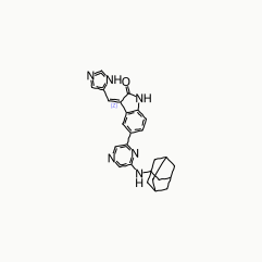 O=C1Nc2ccc(-c3cncc(NC45CC6CC(CC(C6)C4)C5)n3)cc2/C1=C/c1cnc[nH]1